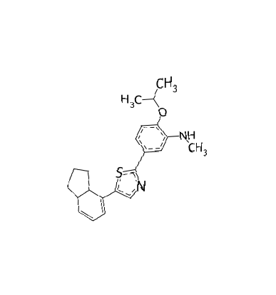 CNc1cc(-c2ncc(C3=CC=CC4CCCC34)s2)ccc1OC(C)C